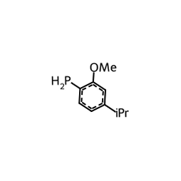 COc1cc(C(C)C)ccc1P